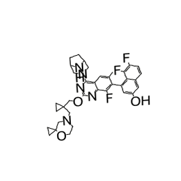 Cc1cc2c(N3CC4CCC(C3)N4)nc(OCC3(CN4CCOC5(CC5)C4)CC3)nc2c(F)c1-c1cc(O)cc2ccc(F)c(F)c12